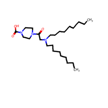 CCCCCCCCCN(CCCCCCCCC)CC(=O)N1CCN(C(=O)O)CC1